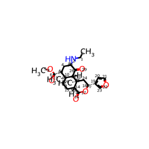 CCN[C@@H]1C[C@@H](C(=O)OC)[C@]2(C)CC[C@H]3C(=O)O[C@@H](c4ccoc4)C[C@]3(C)[C@H]2C1=O